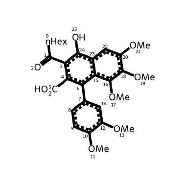 CCCCCCC(=O)c1c(C(=O)O)c(-c2ccc(OC)c(OC)c2)c2c(OC)c(OC)c(OC)cc2c1O